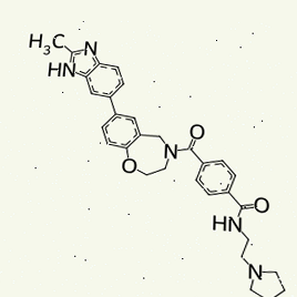 Cc1nc2ccc(-c3ccc4c(c3)CN(C(=O)c3ccc(C(=O)NCCN5CCCC5)cc3)CCO4)cc2[nH]1